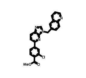 COC(=O)c1ccc(-c2ccc3ncn(Cc4ccc5ncccc5c4)c3n2)cc1Cl